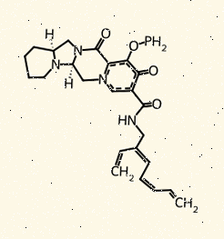 C=C/C=C\C=C(/C=C)CNC(=O)c1cn2c(c(OP)c1=O)C(=O)N1C[C@@H]3CCCCN3[C@@H]1C2